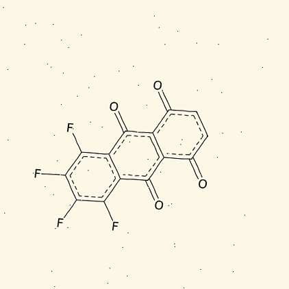 O=c1ccc(=O)c2c(=O)c3c(F)c(F)c(F)c(F)c3c(=O)c1=2